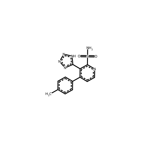 Cc1ccc(-c2ccnc(S(N)(=O)=O)c2-c2nnn[nH]2)cc1